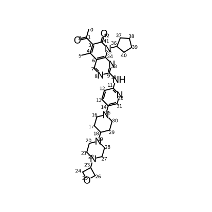 CC(=O)c1c(C)c2cnc(Nc3ccc(N4CCC(N5CCN(C6COC6)CC5)CC4)cn3)nc2n(C2CCCC2)c1=O